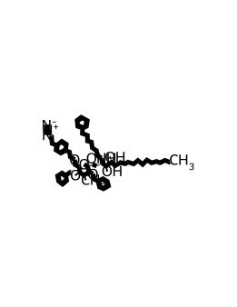 CCCCCCCCCCCCCC[C@@H](O)[C@@H](O)[C@H](CC[C@H]1OC(COCCc2ccc(CCN=[N+]=[N-])cc2)[C@H](OCc2ccccc2)[C@H](C)C1OCc1ccccc1)NC(=O)CCCCCCc1ccccc1